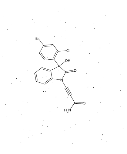 NC(=O)C#CN1C(=O)C(O)(c2ccc(Br)cc2Cl)c2ccccc21